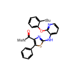 CNC(=O)c1nc(Nc2cccnc2Oc2ccccc2C(C)(C)C)sc1-c1ccccc1